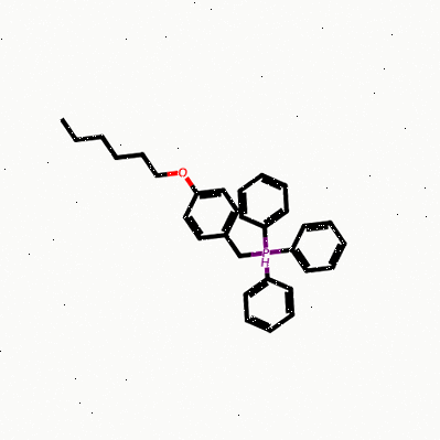 CCCCCCOc1ccc(C[PH](c2ccccc2)(c2ccccc2)c2ccccc2)cc1